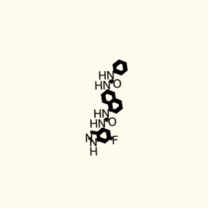 O=C(Nc1ccccc1)Nc1ccc2c(NC(=O)Nc3cc(F)cc4[nH]ncc34)cccc2c1